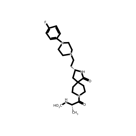 C[C@H](NC(=O)O)C(=O)N1CCC2(CC1)C[C@H](CCN1CCN(c3ccc(F)cc3)CC1)NC2=O